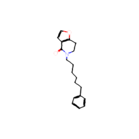 O=C1c2ccoc2CCN1CCCCCCc1ccccc1